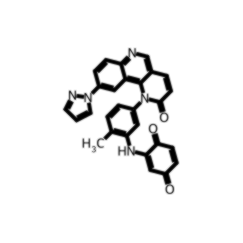 Cc1ccc(-n2c(=O)ccc3cnc4ccc(-n5cccn5)cc4c32)cc1NC1=CC(=O)C=CC1=O